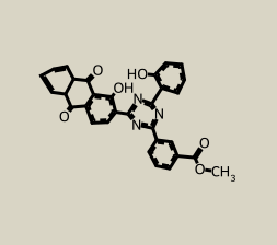 COC(=O)c1cccc(-c2nc(-c3ccccc3O)nc(-c3ccc4c(c3O)C(=O)C3C=CC=CC3C4=O)n2)c1